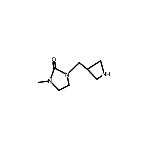 CN1CCN(CC2CNC2)C1=O